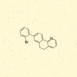 Brc1ccccc1-c1ccc2c(c1)CCc1cccnc1-2